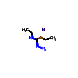 CCNC(=NN)SCC.I